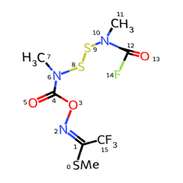 CSC(=NOC(=O)N(C)SSN(C)C(=O)F)C(F)(F)F